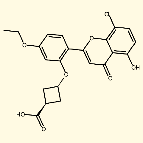 CCOc1ccc(-c2cc(=O)c3c(O)ccc(Cl)c3o2)c(O[C@H]2C[C@H](C(=O)O)C2)c1